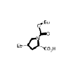 CC[C@H]1C[C@@H](C(=O)O)N(C(=O)OC(C)(C)C)C1